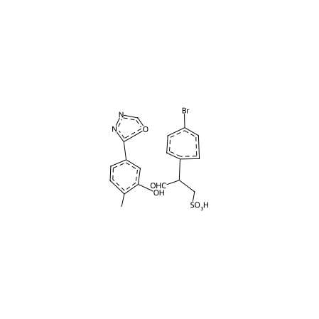 Cc1ccc(-c2nnco2)cc1O.O=CC(CS(=O)(=O)O)c1ccc(Br)cc1